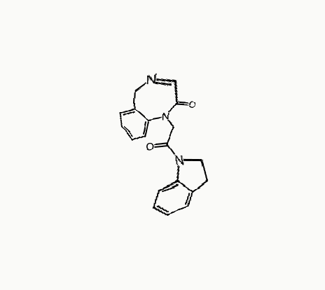 O=C1C=NCc2ccccc2N1CC(=O)N1CCc2ccccc21